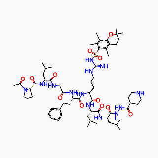 CC(=O)N1CCC[C@H]1C(=O)N[C@@H](CC(C)C)C(=O)NCC(=O)N[C@@H](CCc1ccccc1)C(=O)N[C@@H](CCCNC(=N)NS(=O)(=O)c1c(C)c(C)c2c(c1C)CCC(C)(C)O2)C(=O)N[C@@H](CC(C)C)C(=O)N[C@H](CC(C)C)C(=O)NNC(=O)C1CCNCC1